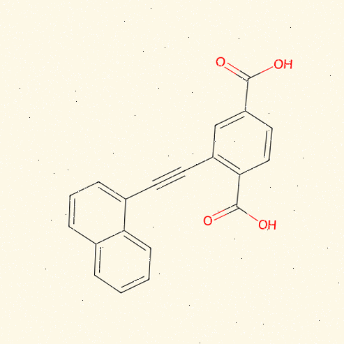 O=C(O)c1ccc(C(=O)O)c(C#Cc2cccc3ccccc23)c1